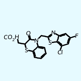 O=C(O)CC1Sc2ccccc2N(Cc2nc3cc(F)cc(Cl)c3s2)C1=O